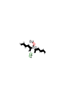 CC=CC=[C](C)[Zr+2]([O]CC)[C](C)=CC=CC.[Cl-].[Cl-]